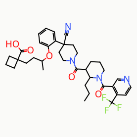 CCCC1C(C(=O)N2CCC(C#N)(c3ccccc3OC(C)CCC3(C(=O)O)CCC3)CC2)CCCN1C(=O)c1cnccc1C(F)(F)F